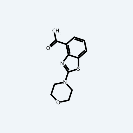 CC(=O)c1cccc2sc(N3CCOCC3)nc12